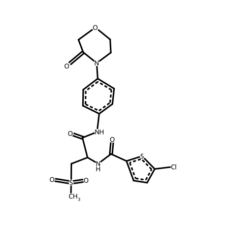 CS(=O)(=O)CC(NC(=O)c1ccc(Cl)s1)C(=O)Nc1ccc(N2CCOCC2=O)cc1